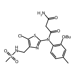 Cc1ccc(N(C(=O)CC(N)=O)c2nc(CNS(C)(=O)=O)c(Cl)s2)c(OCC(C)C)c1